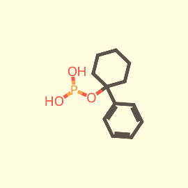 OP(O)OC1(c2ccccc2)CCCCC1